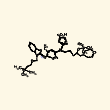 Cc1cc(N(CCCC(CN2CCOCC2)O[Si](C)(C)C(C)(C)C)c2nc(C(=O)O)cs2)nnc1/N=c1\sc2ccccc2n1COCC[Si](C)(C)C